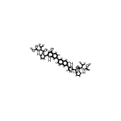 C=C(N[C@H](C(=O)N1CCC[C@@]1(C)C(S)c1ncc(-c2ccc3cc(-c4ccc5c(=O)cc(C6CCCN6C(=O)[C@@H](NC(=O)OC)C(C)C)[nH]c5c4)ccc3c2)[nH]1)C(C)C)OC